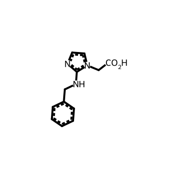 O=C(O)Cn1ccnc1NCc1ccccc1